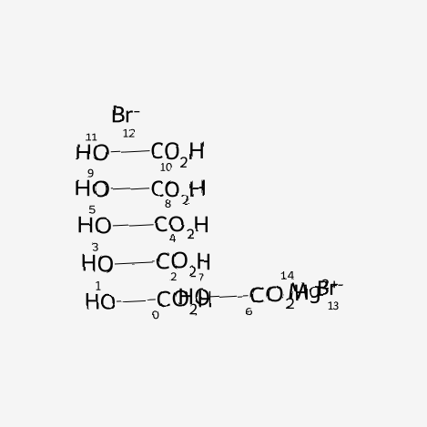 O=C(O)O.O=C(O)O.O=C(O)O.O=C(O)O.O=C(O)O.O=C(O)O.[Br-].[Br-].[Mg+2]